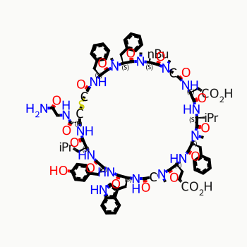 CCCC[C@H]1C(=O)N(C)CC(=O)N[C@@H](CC(=O)O)C(=O)N[C@@H](C(C)C)C(=O)N(C)[C@@H](Cc2ccccc2)C(=O)N[C@@H](CCC(=O)O)C(=O)N(C)CC(=O)N[C@@H](Cc2c[nH]c3ccccc23)C(=O)N[C@@H](Cc2ccc(O)cc2)C(=O)N[C@@H](CC(C)C)C(=O)N[C@H](C(=O)NCC(N)=O)CSCC(=O)N[C@@H](Cc2ccccc2)C(=O)N(C)[C@@H](Cc2ccccc2)C(=O)N1C